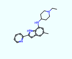 CCN1CCC(Nc2cc(C)cc3cc(-c4ccccn4)[nH]c23)CC1